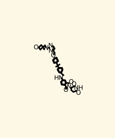 CC(C)(c1ccc(CNc2ccc3c(c2)C(=O)N(C2CCC(=O)NC2=O)C3=O)cc1)c1ccc(OCc2ccnc(N3CC4(CC(=O)C4)C3)n2)cc1